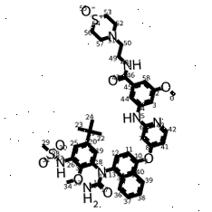 COc1cc(Nc2cc(Oc3ccc(N(C(N)=O)c4cc(C(C)(C)C)cc(NS(C)(=O)=O)c4OC)c4ccccc34)ccn2)cc(C(=O)NCCN2CC[S+]([O-])CC2)c1